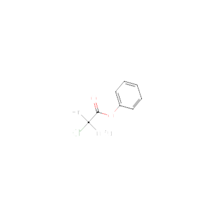 CCCCC(Cl)(CC)C(=O)Oc1ccccc1